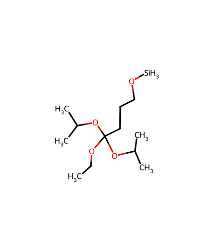 CCOC(CCCO[SiH3])(OC(C)C)OC(C)C